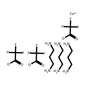 NCCCN.NCCCN.NCCCN.O=C([O-])C(F)(F)F.O=C([O-])C(F)(F)F.O=C([O-])C(F)(F)F.[Co+3]